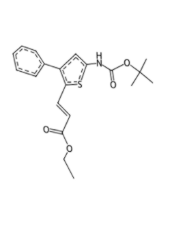 CCOC(=O)/C=C/c1sc(NC(=O)OC(C)(C)C)cc1-c1ccccc1